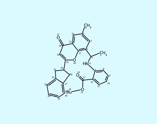 Cc1cc(C(C)Nc2ccccc2C(=O)OC(C)(C)C)c2oc(C3Cc4ccccc4C3)cc(=O)c2c1